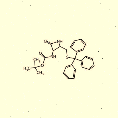 CC(C)(C)OC(=O)NC1C(=O)NC1CSC(c1ccccc1)(c1ccccc1)c1ccccc1